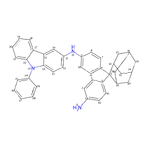 Nc1ccc(C2(c3ccc(Nc4ccc5c(c4)c4ccccc4n5-c4ccccc4)cc3)C3CC4CC(C3)CC2C4)cc1